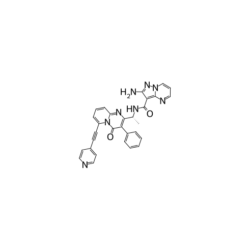 C[C@@H](NC(=O)c1c(N)nn2cccnc12)c1nc2cccc(C#Cc3ccncc3)n2c(=O)c1-c1ccccc1